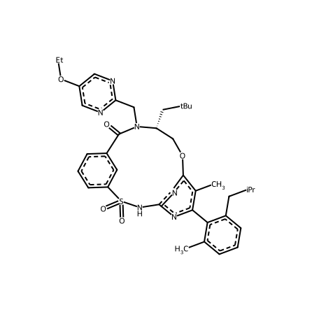 CCOc1cnc(CN2C(=O)c3cccc(c3)S(=O)(=O)Nc3nc(c(C)c(-c4c(C)cccc4CC(C)C)n3)OC[C@H]2CC(C)(C)C)nc1